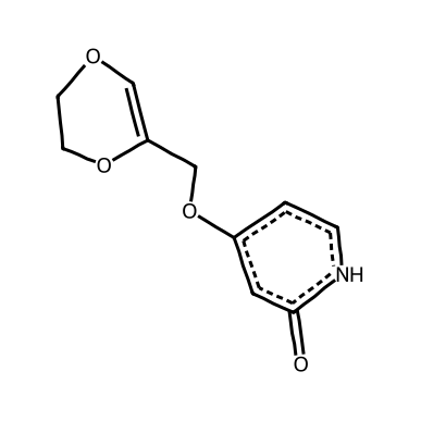 O=c1cc(OCC2=COCCO2)cc[nH]1